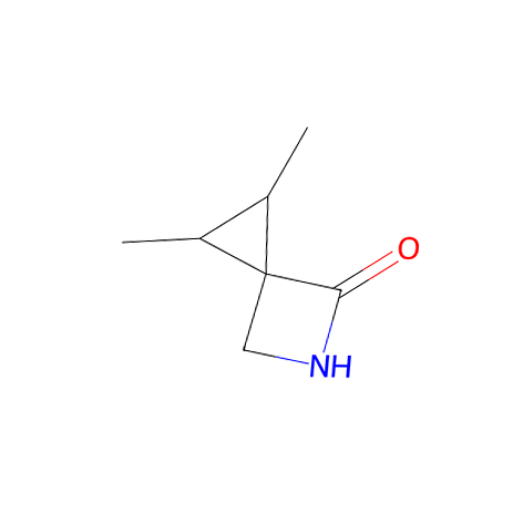 CC1C(C)C12CNC2=O